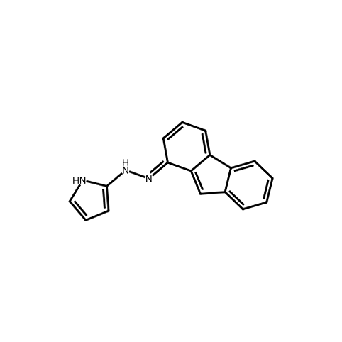 C1=CC(=NNc2ccc[nH]2)C2=Cc3ccccc3C2=C1